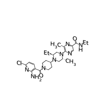 CCNC(=O)c1cnc(N2C[C@H](CC)N(C3CCN(C(=O)c4ccc(Cl)nc4N)CC3)C[C@H]2C)c(C)n1